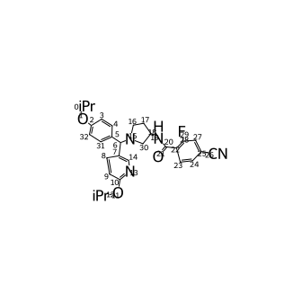 CC(C)Oc1ccc(C(c2ccc(OC(C)C)nc2)N2CC[C@@H](NC(=O)c3ccc(C#N)cc3F)C2)cc1